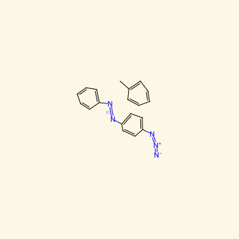 Cc1ccccc1.[N-]=[N+]=Nc1ccc(/N=N/c2ccccc2)cc1